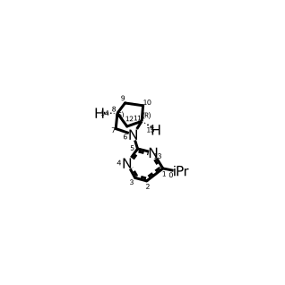 CC(C)c1ccnc(N2C[C@H]3CC[C@@H]2C3)n1